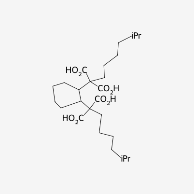 CC(C)CCCCC(C(=O)O)(C(=O)O)C1CCCCC1C(CCCCC(C)C)(C(=O)O)C(=O)O